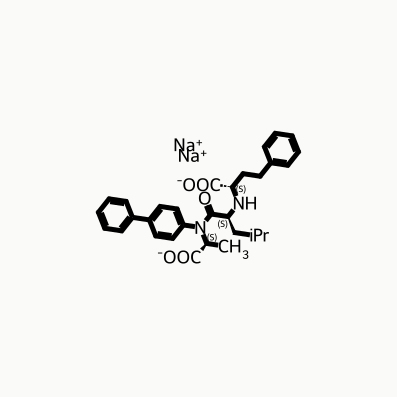 CC(C)C[C@H](N[C@@H](CCc1ccccc1)C(=O)[O-])C(=O)N(c1ccc(-c2ccccc2)cc1)[C@@H](C)C(=O)[O-].[Na+].[Na+]